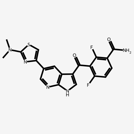 CN(C)c1nc(-c2cnc3[nH]cc(C(=O)c4c(F)ccc(C(N)=O)c4F)c3c2)cs1